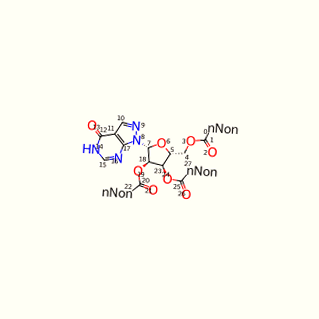 CCCCCCCCCC(=O)OC[C@H]1O[C@@H](n2ncc3c(=O)[nH]cnc32)[C@H](OC(=O)CCCCCCCCC)[C@@H]1OC(=O)CCCCCCCCC